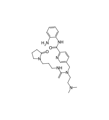 C=C(NCCCN1CCCC1=O)N(CCN(C)C)Cc1ccc(C(=O)Nc2ccccc2N)nc1